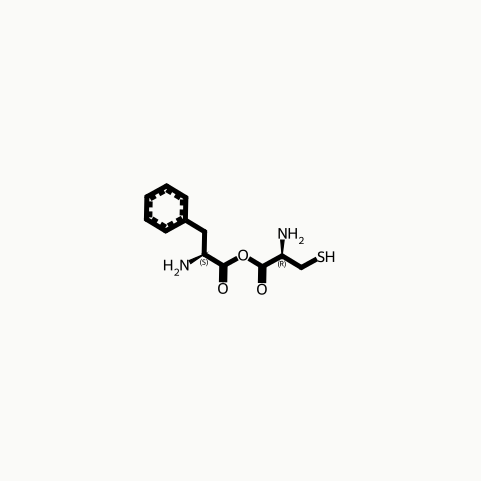 N[C@@H](CS)C(=O)OC(=O)[C@@H](N)Cc1ccccc1